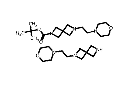 C1CN(CCN2CC3(CNC3)C2)CCO1.CC(C)(C)OC(=O)N1CC2(CN(CCN3CCOCC3)C2)C1